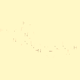 CC(=O)Nc1nc2c(Oc3cc(-c4ccc(C(F)(F)F)nc4N[C@@H]4CCN(CC(C)C)C4)ncn3)cccc2s1